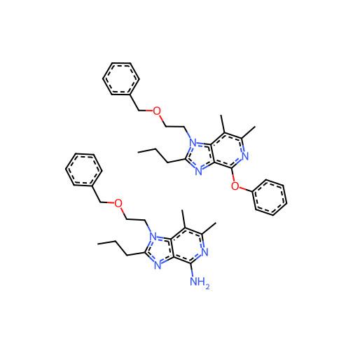 CCCc1nc2c(N)nc(C)c(C)c2n1CCOCc1ccccc1.CCCc1nc2c(Oc3ccccc3)nc(C)c(C)c2n1CCOCc1ccccc1